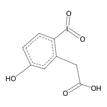 O=C(O)Cc1cc(O)ccc1I(=O)=O